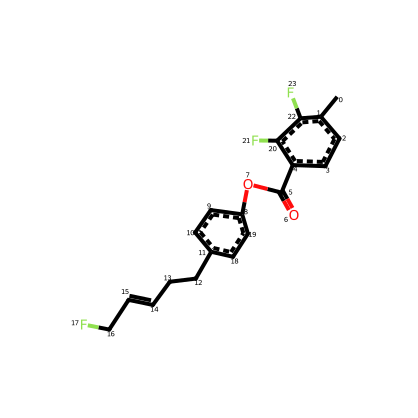 Cc1ccc(C(=O)Oc2ccc(CCC=CCF)cc2)c(F)c1F